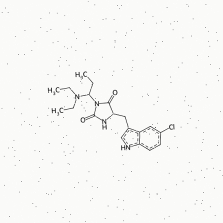 CCC(N(CC)CC)N1C(=O)NC(Cc2c[nH]c3ccc(Cl)cc23)C1=O